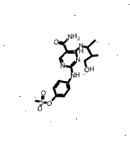 CC(CO)C(C)Nc1nc(Nc2ccc(OS(C)(=O)=O)cc2)ncc1C(N)=O